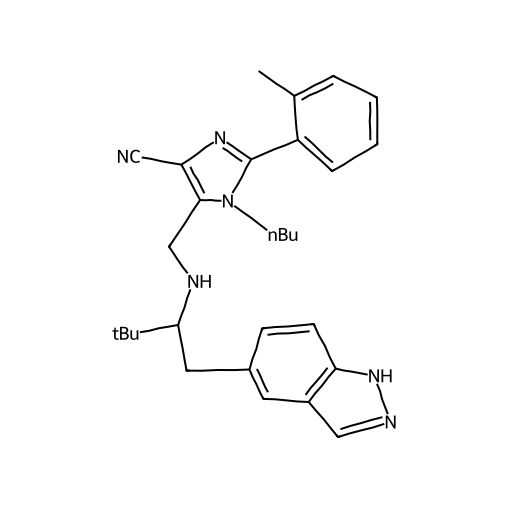 CCCCn1c(-c2ccccc2C)nc(C#N)c1CNC(Cc1ccc2[nH]ncc2c1)C(C)(C)C